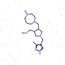 COCC1CN(Cc2c[nH]nc2C)CC1CN1CCCN(C)CC1